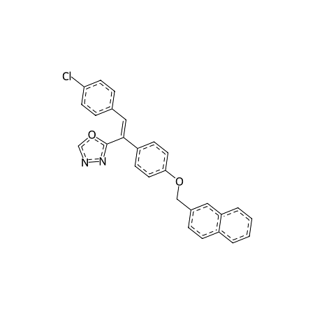 Clc1ccc(C=C(c2ccc(OCc3ccc4ccccc4c3)cc2)c2nnco2)cc1